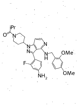 COc1ccc(CNc2nccc3c2c(-c2ccc(N)cc2F)nn3C2CCN(C(=O)C(C)C)CC2)c(OC)c1